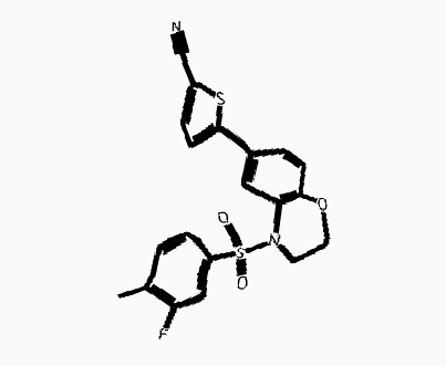 Cc1ccc(S(=O)(=O)N2CCOc3ccc(-c4ccc(C#N)s4)cc32)cc1F